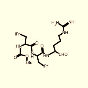 CC(C)CC(NC(=O)OC(C)(C)C)C(=O)NC(CC(C)C)C(=O)NC(C=O)CCCNC(=N)N